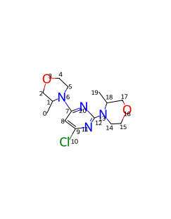 CC1COCCN1c1cc(Cl)nc(N2CCOCC2C)n1